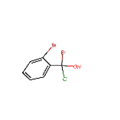 OC(Cl)(Br)c1ccccc1Br